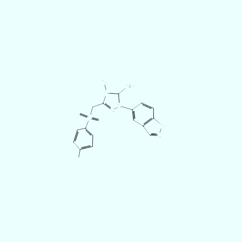 NC1N(N)C(CS(=O)(=O)c2ccc(Cl)cc2)=NN1c1ccc2[nH]ncc2c1